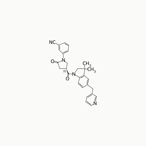 CC1(C)CN(C(=O)[C@H]2CC(=O)N(c3cccc(C#N)c3)C2)c2ccc(Cc3cccnc3)cc21